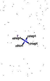 CCCCCCCCC[N+](CCCCCCC)(CCCCCCC)CCCCCCC.[I-]